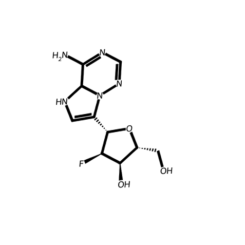 NC1=NC=NN2C([C@@H]3O[C@H](CO)[C@@H](O)[C@H]3F)=CNC12